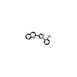 CC(C)c1ccccc1-n1cc(-c2ccc3ccccc3n2)cn1